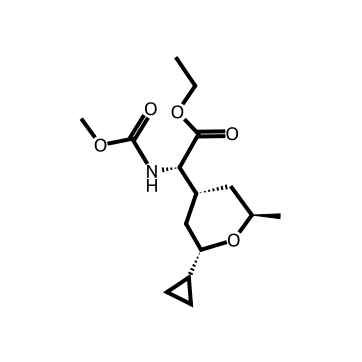 CCOC(=O)[C@@H](NC(=O)OC)[C@@H]1C[C@@H](C)O[C@H](C2CC2)C1